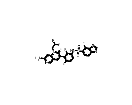 Nc1cc2c(cn1)cc(-c1c(F)ccc(NS(=O)(=O)c3ccc4ncsc4c3F)c1F)c(=O)n2CC(F)F